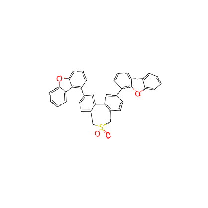 O=S1(=O)Cc2ccc(-c3cccc4c3oc3ccccc34)cc2-c2cc(-c3cccc4oc5ccccc5c34)ccc2C1